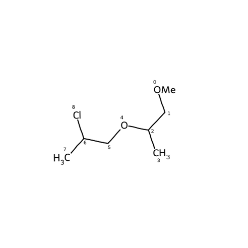 COCC(C)OCC(C)Cl